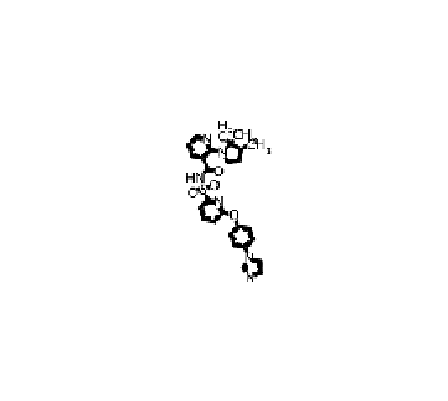 CC1CCN(c2ncccc2C(=O)NS(=O)(=O)c2cccc(Oc3ccc(-n4ccnc4)cc3)n2)C1(C)C